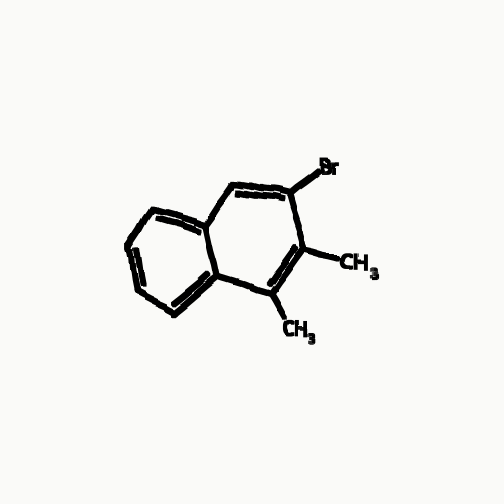 Cc1c(Br)cc2ccccc2c1C